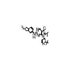 CC(C)n1c(=O)c2cnc(Nc3ccc4c(c3)CC(N(C)C)C4)nc2n1-c1ccnc(C(C)(C)C)c1